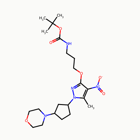 Cc1c([N+](=O)[O-])c(OCCCNC(=O)OC(C)(C)C)nn1C1CCC(N2CCOCC2)C1